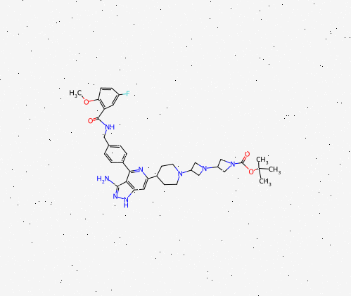 COc1ccc(F)cc1C(=O)NCc1ccc(-c2nc(C3CCN(C4CN(C5CN(C(=O)OC(C)(C)C)C5)C4)CC3)cc3[nH]nc(N)c23)cc1